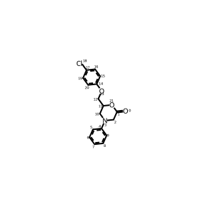 O=C1CN(c2ccccc2)CC(COc2ccc(Cl)cc2)O1